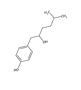 CC(C)CCC(O)Cc1ccc(O)cc1